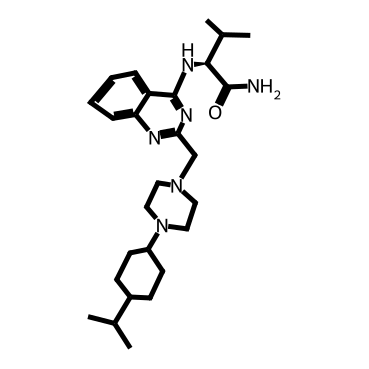 CC(C)C1CCC(N2CCN(Cc3nc(N[C@H](C(N)=O)C(C)C)c4ccccc4n3)CC2)CC1